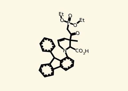 CCOP(=O)(CC(=O)C1(C)C=CCN(c2cccc3c2C(c2ccccc2)c2ccccc2-3)C1C(=O)O)OCC